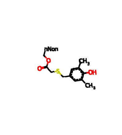 CCCCCCCCCCOC(=O)CSCc1cc(C)c(O)c(C)c1